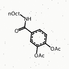 CCCCCCCCNC(=O)c1ccc(OC(C)=O)c(OC(C)=O)c1